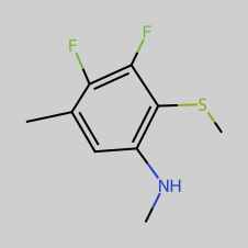 CNc1cc(C)c(F)c(F)c1SC